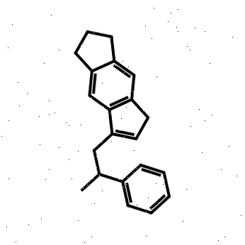 CC(CC1=CCc2cc3c(cc21)CCC3)c1ccccc1